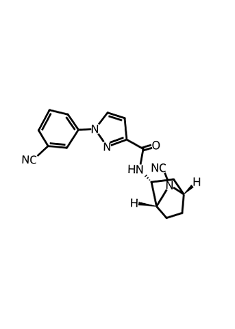 N#Cc1cccc(-n2ccc(C(=O)N[C@@H]3C[C@@H]4CC[C@H]3N4C#N)n2)c1